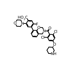 O=C(O)c1cc(F)c(-c2cccc3c2OCN(C(=O)c2c(Cl)cc(O[C@@H]4CCCNC4)cc2Cl)C3)cc1N1CCOCC1